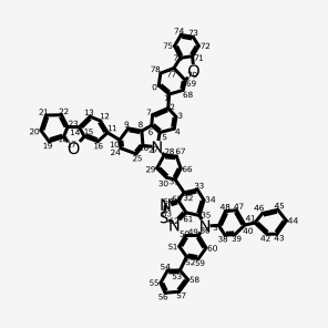 C1=C(c2ccc3c(c2)c2cc(-c4ccc5c(c4)oc4ccccc45)ccc2n3-c2ccc(-c3ccc(N(c4ccc(-c5ccccc5)cc4)c4ccc(-c5ccccc5)cc4)c4nsnc34)cc2)C=C2Oc3ccccc3C2C1